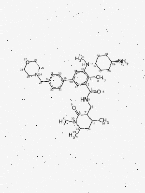 Cc1c(C(=O)NCC2C(=O)N(C)C(C)CC2C)cc(-c2ccc(CN3CCOCC3)cc2)cc1N(C)[C@H]1CC[C@H](N)CC1